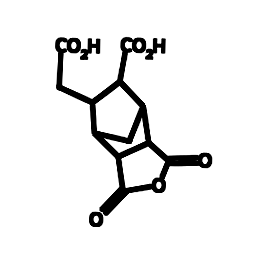 O=C(O)CC1C2CC(C1C(=O)O)C1C(=O)OC(=O)C21